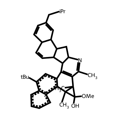 COC1(O)C2(C)C3=C(c4cc(C(C)(C)C)c5ccccc5c4C12C)C1C(CC2C4C=C(CC(C)C)C=CC4C=CC21)N=C3C